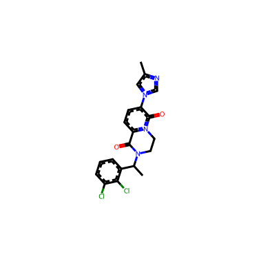 Cc1cn(-c2ccc3n(c2=O)CCN(C(C)c2cccc(Cl)c2Cl)C3=O)cn1